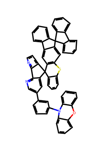 c1cc(-c2cnc3c(c2)C2(c4ccccc4Sc4cc5c(cc42)-c2ccccc2C52c4ccccc4-c4ccccc42)c2cccnc2-3)cc(N2c3ccccc3Oc3ccccc32)c1